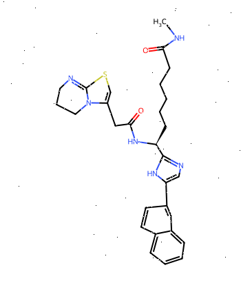 CNC(=O)CCCCC[C@H](NC(=O)CC1=CSC2=NCCCN12)c1ncc(-c2ccc3ccccc3c2)[nH]1